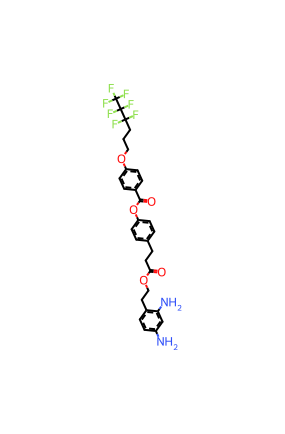 Nc1ccc(CCOC(=O)CCc2ccc(OC(=O)c3ccc(OCCCC(F)(F)C(F)(F)C(F)(F)F)cc3)cc2)c(N)c1